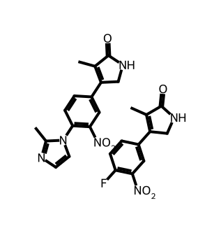 CC1=C(c2ccc(-n3ccnc3C)c([N+](=O)[O-])c2)CNC1=O.CC1=C(c2ccc(F)c([N+](=O)[O-])c2)CNC1=O